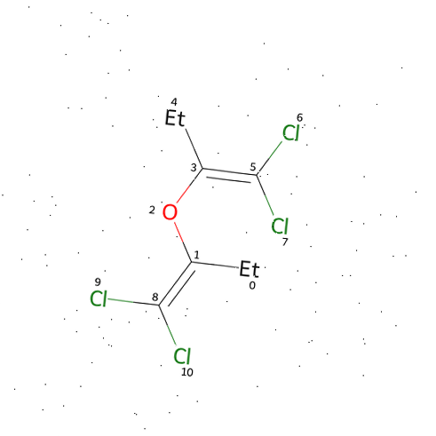 CCC(OC(CC)=C(Cl)Cl)=C(Cl)Cl